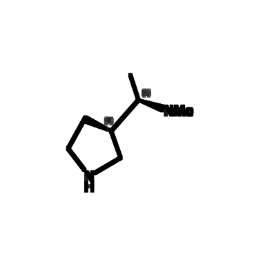 CN[C@H](C)[C@@H]1CCNC1